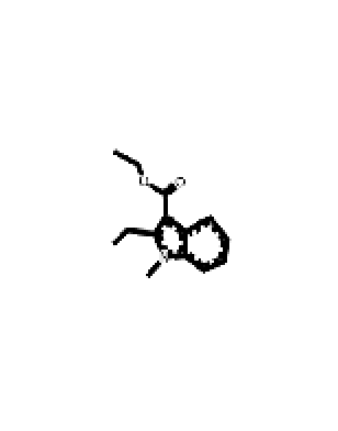 CCOC(=O)c1c(CC)n(C)c2ccccc12